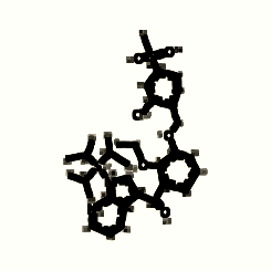 CCOc1c(OCc2ccc(S(C)(=O)=O)cc2Cl)cccc1C(=O)c1cn(S(C(C)C)(C(C)C)C(C)C)c2ncccc12